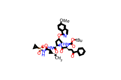 C=C[C@@H]1C[C@]1(NC(=O)[C@@H]1C[C@@H](Oc2nccc3cc(OC)ccc23)CN1C(=O)[C@H](CCC(=O)c1ccccc1)NC(=O)OC(C)(C)C)C(=O)NS(=O)(=O)C1CC1